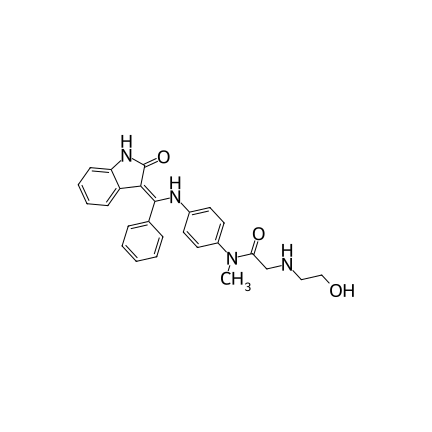 CN(C(=O)CNCCO)c1ccc(N/C(=C2\C(=O)Nc3ccccc32)c2ccccc2)cc1